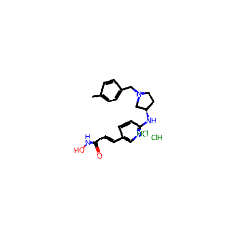 Cc1ccc(CN2CC[C@@H](Nc3ccc(C=CC(=O)NO)cn3)C2)cc1.Cl.Cl